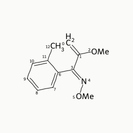 C=C(OC)/C(=N/OC)c1ccccc1C